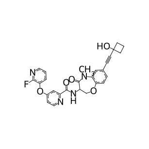 CN1C(=O)C(NC(=O)c2cc(Oc3cccnc3F)ccn2)COc2ccc(C#CC3(O)CCC3)cc21